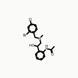 CC(=O)Nc1ccccc1C(O)CN(C)Cc1ccc(Cl)cc1Br